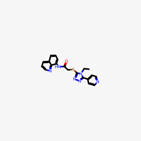 CCn1c(SCC(=O)Nc2cccc3cccnc23)nnc1-c1ccncc1